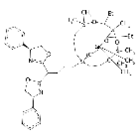 CCC1O[Si](C)(C)CCC[Si]2(CCCC(C3=N[C@@H](c4ccccc4)CO3)C3=N[C@@H](c4ccccc4)CO3)CCC[Si](C)(C)OC(CC)C1(C)O[Si](C)(C)CCC2